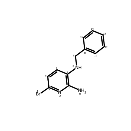 Nc1nc(Br)ccc1NCc1ccccc1